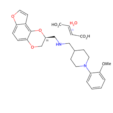 COc1ccccc1N1CCC(CNC[C@H]2COc3ccc4occc4c3O2)CC1.O.O=C(O)/C=C/C(=O)O